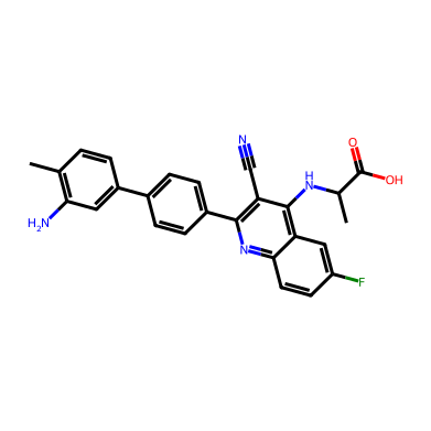 Cc1ccc(-c2ccc(-c3nc4ccc(F)cc4c(NC(C)C(=O)O)c3C#N)cc2)cc1N